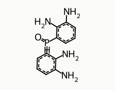 Nc1cccc([PH](=O)c2cccc(N)c2N)c1N